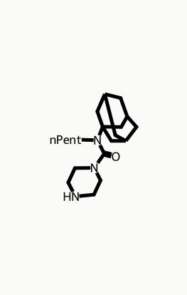 CCCCCN(C(=O)N1CCNCC1)C12CC3CC(CC(C3)C1)C2